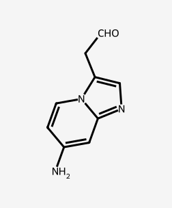 Nc1ccn2c(CC=O)cnc2c1